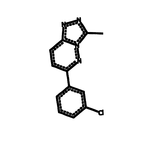 Cc1nnc2ccc(-c3cccc(Cl)c3)nn12